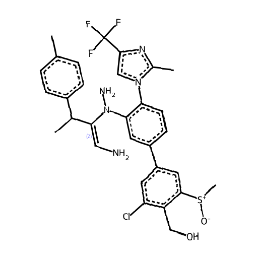 Cc1ccc(C(C)/C(=C/N)N(N)c2cc(-c3cc(Cl)c(CO)c([S+](C)[O-])c3)ccc2-n2cc(C(F)(F)F)nc2C)cc1